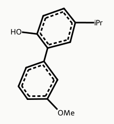 COc1cccc(-c2cc(C(C)C)ccc2O)c1